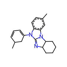 Cc1ccc2c(c1)N1C(=NC3CCCCC31)N2C1=CC=CC(C)C1